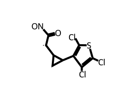 O=NC(=O)[CH]C1CC1c1c(Cl)sc(Cl)c1Cl